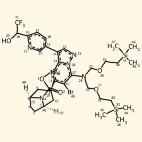 CC(C)(C)OC(=O)N1[C@@H]2CC[C@H]1C[C@@H](c1nc3c(-c4ccc(C(O)C(F)(F)F)nc4)cnn3c(N(COCC[Si](C)(C)C)COCC[Si](C)(C)C)c1Br)C2